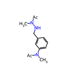 CC(=O)N(C)NCc1cccc(N(C)C(C)=O)c1